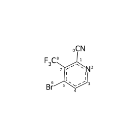 N#Cc1nccc(Br)c1C(F)(F)F